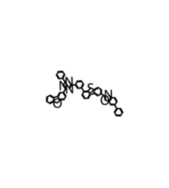 c1ccc(-c2ccc3nc(-c4ccc5sc6c(-c7cccc(-c8nc(-c9ccccc9)nc(-c9ccc%10oc%11ccccc%11c%10c9)n8)c7)cccc6c5c4)oc3c2)cc1